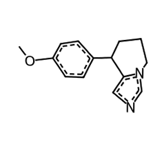 COc1ccc(C2CCCn3cncc32)cc1